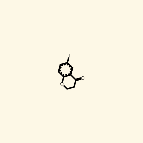 O=C1CCOc2ccc(I)cc21